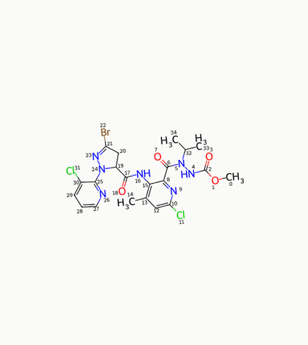 COC(=O)NN(C(=O)c1nc(Cl)cc(C)c1NC(=O)C1CC(Br)=NN1c1ncccc1Cl)C(C)C